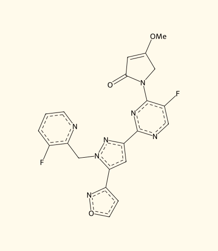 COC1=CC(=O)N(c2nc(-c3cc(-c4ccon4)n(Cc4ncccc4F)n3)ncc2F)C1